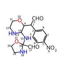 O=CC(c1ccc([N+](=O)[O-])cc1)C1OCCNC1NC1(C=O)NCCO1